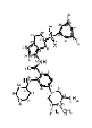 CC1CN(c2ccc(C(=O)Nc3[nH]nc4c3CN(S(=O)(=O)c3cc(F)cc(F)c3)CC4)c(NC3CCOCC3)c2)CC(C)N1C